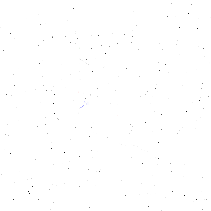 C#CCOC(C(=O)N[C@@H]1CCCC[C@H]1c1ccc(OCC#CCC)c(OC)c1)c1ccc(Br)cc1